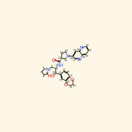 O=C(N[C@H](CN1CCCC1)[C@H](O)c1ccc2c(c1)OCCO2)[C@H]1CCN(c2cnc3cccnc3c2)C1